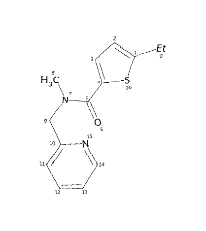 CCc1ccc(C(=O)N(C)Cc2ccccn2)s1